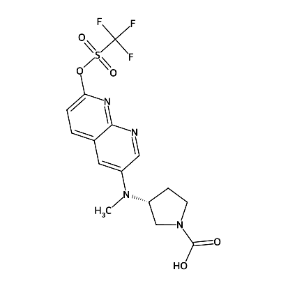 CN(c1cnc2nc(OS(=O)(=O)C(F)(F)F)ccc2c1)[C@@H]1CCN(C(=O)O)C1